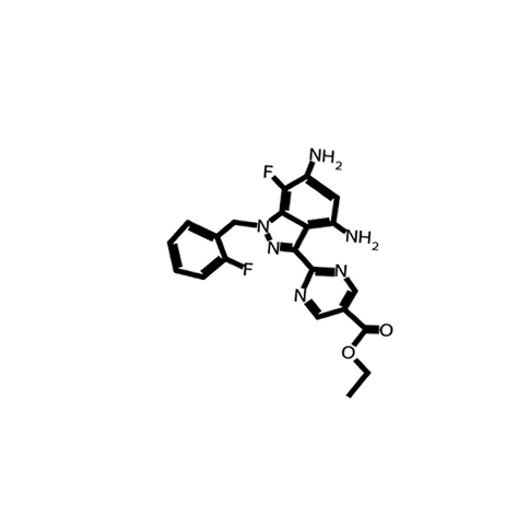 CCOC(=O)c1cnc(-c2nn(Cc3ccccc3F)c3c(F)c(N)cc(N)c23)nc1